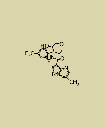 Cc1cnc2c(C(=O)N[C@@]3(c4ccc(C(F)(F)F)cc4F)CCOC[C@@H]3O)cnn2c1